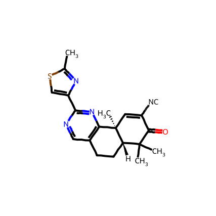 [C-]#[N+]C1=C[C@]2(C)c3nc(-c4csc(C)n4)ncc3CC[C@H]2C(C)(C)C1=O